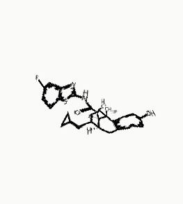 CN(C(=O)Nc1nc2cc(F)ccc2s1)[C@@H]1[C@H]2Cc3ccc(O)cc3[C@@]1(C)CCC2CC1CC1